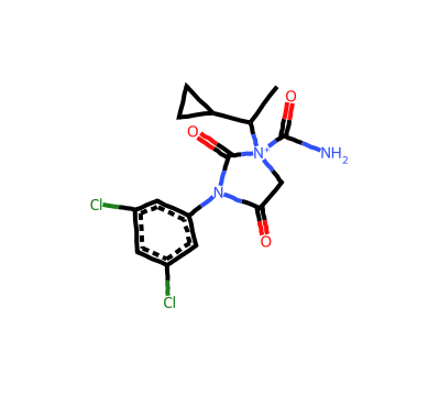 CC(C1CC1)[N+]1(C(N)=O)CC(=O)N(c2cc(Cl)cc(Cl)c2)C1=O